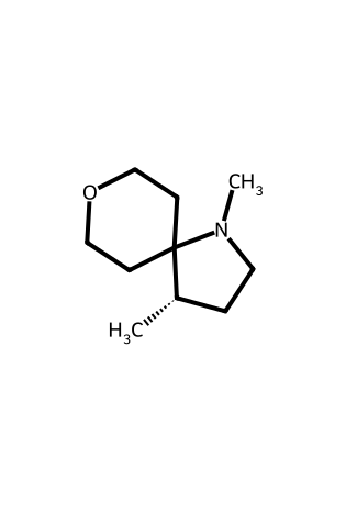 C[C@H]1CCN(C)C12CCOCC2